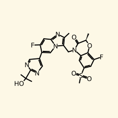 Cc1nc2cc(F)c(-c3cnc(C(C)(C)O)nc3)cn2c1CN1C(=O)[C@@H](C)Oc2c(F)cc(S(C)(=O)=O)cc21